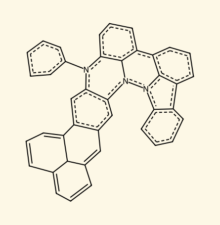 C1=CC2=CC=CC3=Cc4cc5c(cc4C(=C1)C23)n(-c1ccccc1)c1cccc2c1-n5n1c3ccccc3c3cccc2c31